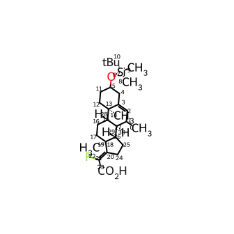 CC1C=C2CC(O[Si](C)(C)C(C)(C)C)CC[C@]2(C)[C@H]2CC[C@]3(C)C(=C(F)C(=O)O)CC[C@H]3[C@H]12